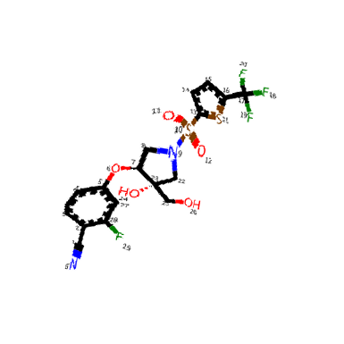 N#Cc1ccc(O[C@H]2CN(S(=O)(=O)c3ccc(C(F)(F)F)s3)C[C@@]2(O)CO)cc1F